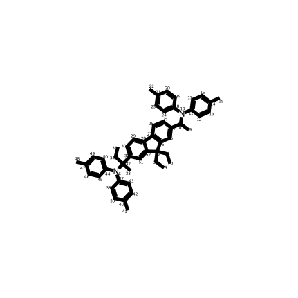 CCC1(CC)c2cc(C(C)N(c3ccc(C)cc3)c3ccc(C)cc3)ccc2-c2ccc(C(C)(CC)N(c3ccc(C)cc3)c3ccc(C)cc3)cc21